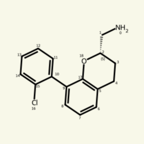 NC[C@@H]1CCc2cccc(-c3ccccc3Cl)c2O1